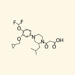 CC(C)CC1CN(c2ccc(OC(F)F)c(OCC3CC3)c2)CCN1C(=O)CC(=O)O